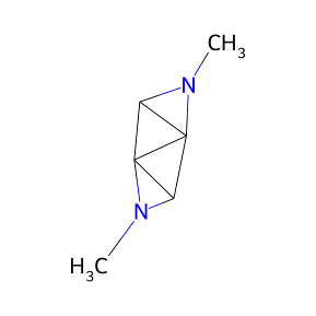 CN1C2C13C1N(C)C213